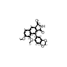 COc1ccc2cc3c(c(-c4ccc5c(c4)OCO5)c2c1OC)C(=O)NC3=O